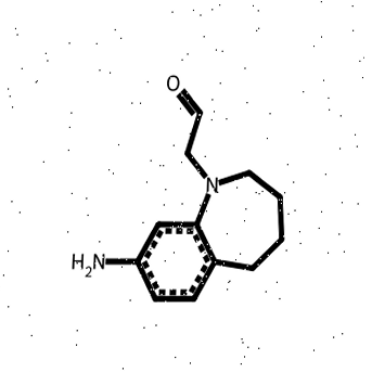 Nc1ccc2c(c1)N(CC=O)CCCC2